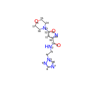 O=C(NCCn1cncn1)c1cc(N2CCOCC2)on1